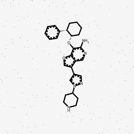 Nc1ncc2c(-c3cnn(C4CCNCC4)c3)coc2c1O[C@H]1CCCC[C@H]1c1ccccc1